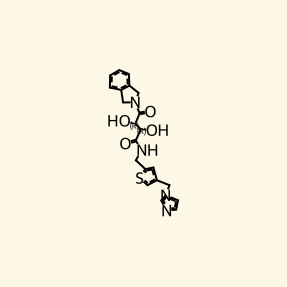 O=C(NCc1cc(Cn2ccnc2)cs1)[C@H](O)[C@@H](O)C(=O)N1Cc2ccccc2C1